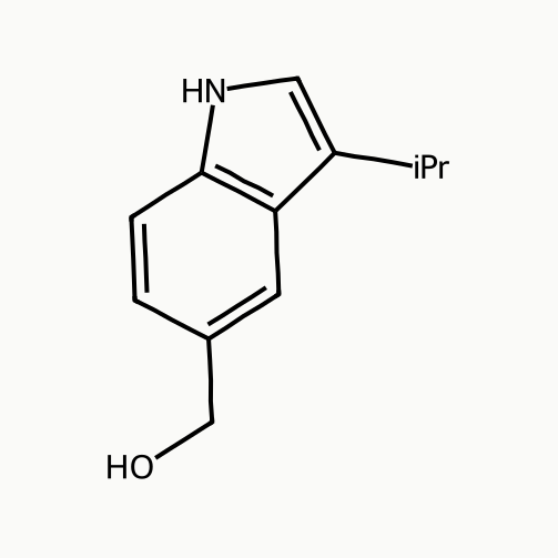 CC(C)c1c[nH]c2ccc(CO)cc12